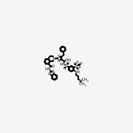 CN(C)CCCNc1ccc(S(=O)(=O)NC(O)c2nc(N3CCc4cccc(C(=O)Nc5nc6ccccc6s5)c4C3)sc2Cc2ccccc2)cc1S(=O)(=O)C(F)(F)F